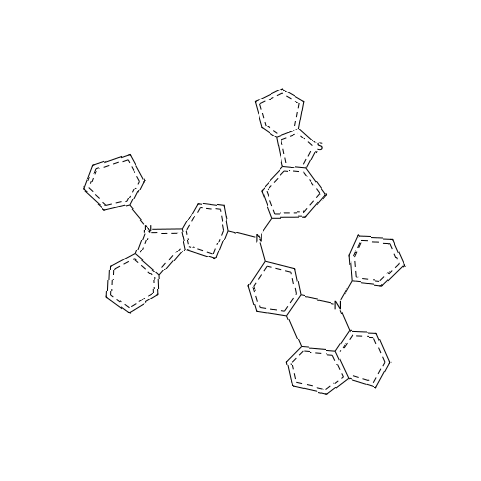 c1ccc(N2c3cc(N(c4ccc5sc6ccccc6c5c4)c4ccc5c(c4)c4ccccc4n5-c4ccccc4)ccc3-c3cccc4cccc2c34)cc1